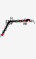 CCN(CCNC(=O)CCOCCOCCOCCOCCOCCN)CCNC(=O)CCOCCOCCOCCOCCOCCNC(=S)Nc1ccc(CC(C)CN)cc1